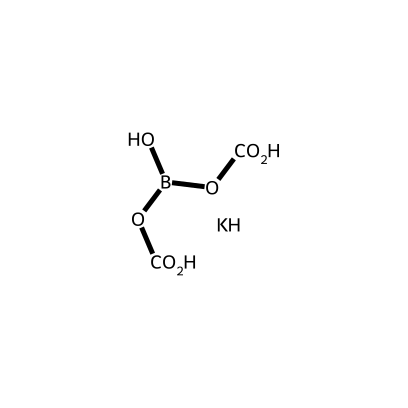 O=C(O)OB(O)OC(=O)O.[KH]